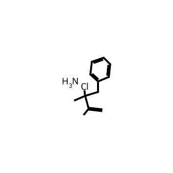 C=C(C)C(C)(Cl)Cc1ccccc1.N